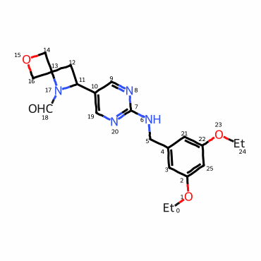 CCOc1cc(CNc2ncc(C3CC4(COC4)N3C=O)cn2)cc(OCC)c1